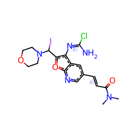 CN(C)C(=O)/C=C/c1cnc2oc(C(I)N3CCOCC3)c(/N=C(\N)Cl)c2c1